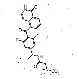 CC(NC(=O)CNC(=O)O)c1cc(F)c(C(=O)c2cccc3c(=O)[nH]ccc23)c(F)c1